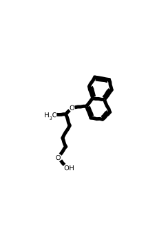 CC(CCCOO)Oc1cccc2ccccc12